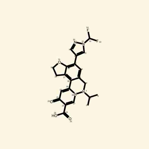 CC(C)N1Cc2cc(-c3cnn(C(F)F)c3)c3c(c2-c2cc(=O)c(C(=O)O)cn21)CCO3